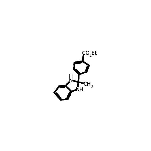 CCOC(=O)c1ccc(C2(C)Nc3ccccc3N2)cc1